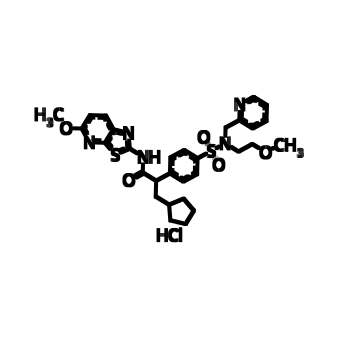 COCCN(Cc1ccccn1)S(=O)(=O)c1ccc(C(CC2CCCC2)C(=O)Nc2nc3ccc(OC)nc3s2)cc1.Cl